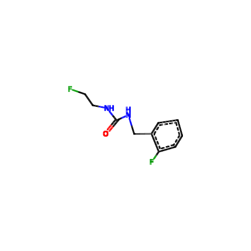 O=C(NCCF)NCc1ccccc1F